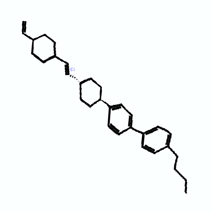 C=CC1CCC(/C=C/[C@H]2CC[C@H](c3ccc(-c4ccc(CCCC)cc4)cc3)CC2)CC1